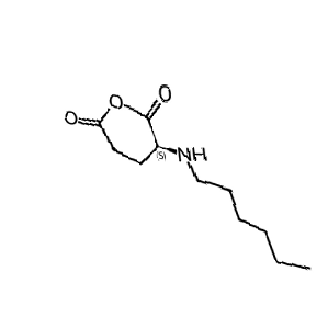 CCCCCCN[C@H]1CCC(=O)OC1=O